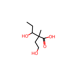 CCC(O)C(C)(CCO)C(=O)O